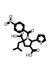 CC(C)CC1(C(=O)O)CC(C(=O)O)C(c2cccs2)N1C(=O)c1ccc([N+](=O)[O-])cc1